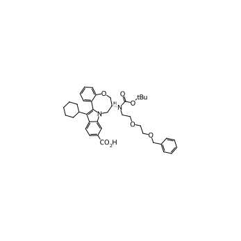 CC(C)(C)OC(=O)N(CCOCCOCc1ccccc1)[C@H]1COc2ccccc2-c2c(C3CCCCC3)c3ccc(C(=O)O)cc3n2C1